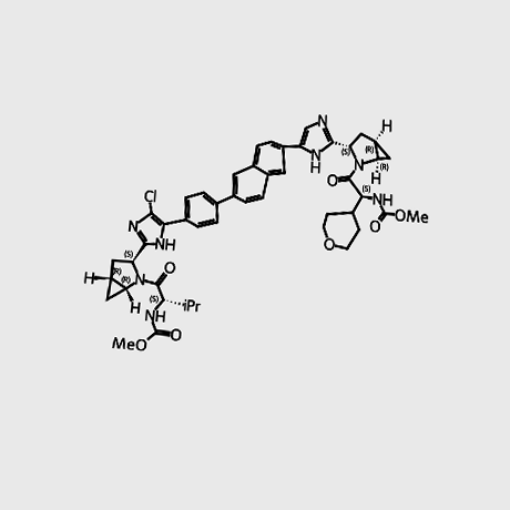 COC(=O)N[C@H](C(=O)N1[C@@H]2C[C@@H]2C[C@H]1c1nc(Cl)c(-c2ccc(-c3ccc4cc(-c5cnc([C@@H]6C[C@H]7C[C@H]7N6C(=O)[C@@H](NC(=O)OC)C6CCOCC6)[nH]5)ccc4c3)cc2)[nH]1)C(C)C